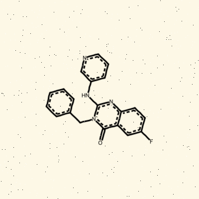 O=c1c2cc(F)ccc2nc(Nc2cccnc2)n1Cc1ccccc1